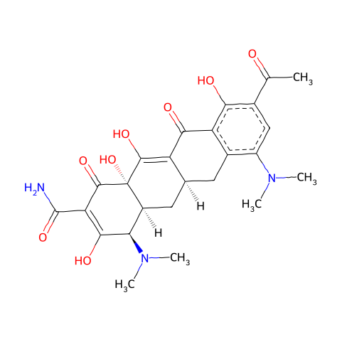 CC(=O)c1cc(N(C)C)c2c(c1O)C(=O)C1=C(O)[C@]3(O)C(=O)C(C(N)=O)=C(O)[C@H](N(C)C)[C@@H]3C[C@@H]1C2